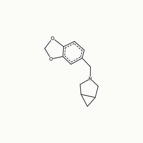 c1cc2c(cc1CN1CC3CC3C1)OCO2